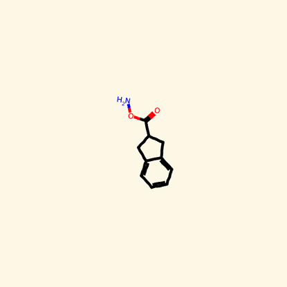 NOC(=O)C1Cc2ccccc2C1